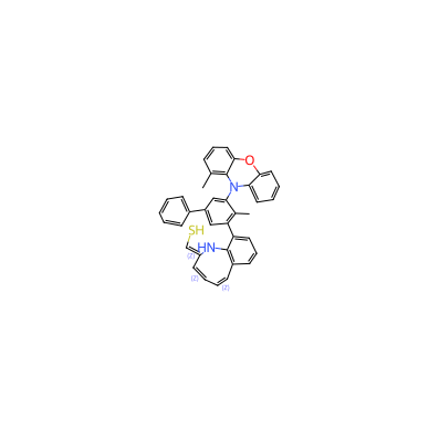 Cc1cccc2c1N(c1cc(-c3ccccc3)cc(-c3cccc4c3NC(=C\S)/C=C\C=C/4)c1C)c1ccccc1O2